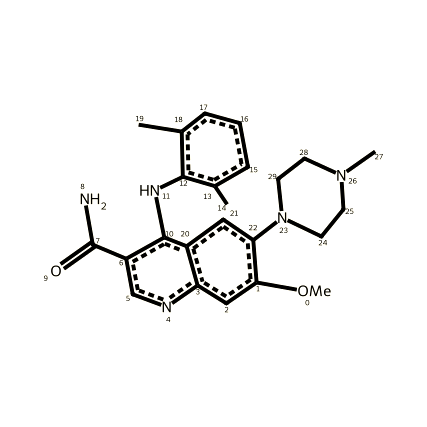 COc1cc2ncc(C(N)=O)c(Nc3c(C)cccc3C)c2cc1N1CCN(C)CC1